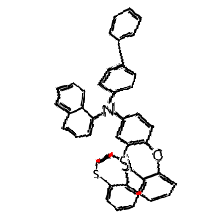 c1ccc(-c2ccc(N(c3ccc4c(c3)[Si]3(c5ccccc5O4)c4ccccc4Sc4ccccc43)c3cccc4ccccc34)cc2)cc1